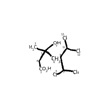 CC(C)(O)CC(=O)O.ClC(Cl)CC(Cl)Cl